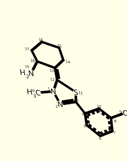 CN1N=C(c2cccc(Cl)c2)SC1=C1CCCCC1N